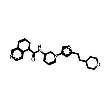 O=C(NC1=CC=CN(c2csc(CCC3CCOCC3)c2)C1)C1CC=Cc2cnccc21